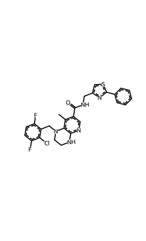 Cc1c(C(=O)NCc2csc(-c3ccccc3)n2)cnc2c1N(Cc1c(F)ccc(F)c1Cl)CCN2